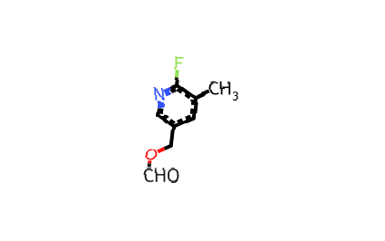 Cc1cc(COC=O)cnc1F